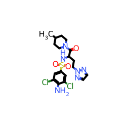 CC1CCN(C(=O)C(CCn2nccn2)NS(=O)(=O)c2cc(Cl)c(N)c(Cl)c2)CC1